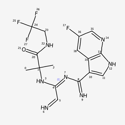 CC(C)(N/C(C=N)=N/C(=N)c1c[nH]c2ncc(F)cc12)C(=O)NCC(F)(F)F